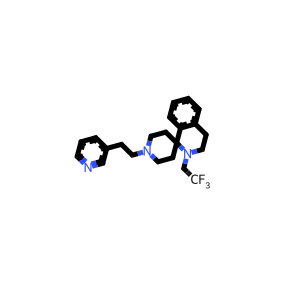 FC(F)(F)CN1CCc2ccccc2C12CCN(CCc1cccnc1)CC2